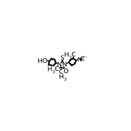 [C-]#[N+]c1ccc(N2C(=O)C(C)(C)N(c3ccc(O)cc3)C2=S)cc1C